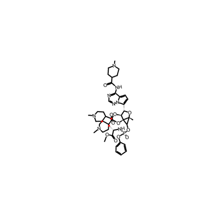 COC(=O)[C@H](C)N[P@@](=O)(Oc1ccccc1)OC1[C@@]2(C)O[C@@H](c3ccc4c(NC(=O)C5CCN(C)CC5)ncnn34)[C@H](OC(=O)C3CCN(C)CC3)[C@@]12OC(=O)C1CCN(C)CC1